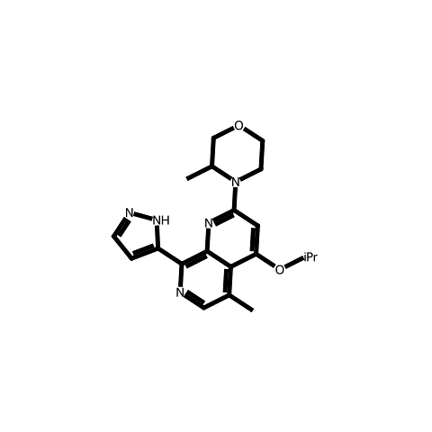 Cc1cnc(-c2ccn[nH]2)c2nc(N3CCOCC3C)cc(OC(C)C)c12